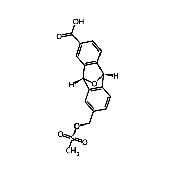 CS(=O)(=O)OCc1ccc2c(c1)[C@H]1O[C@@H]2c2ccc(C(=O)O)cc21